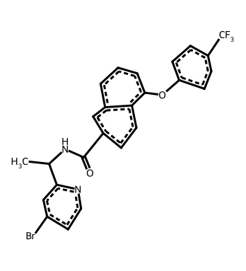 CC(NC(=O)c1ccc2c(Oc3ccc(C(F)(F)F)cc3)cccc2c1)c1cc(Br)ccn1